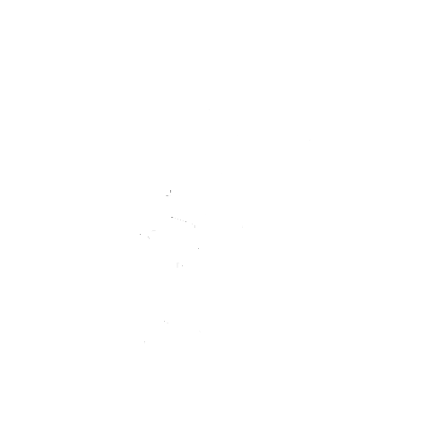 COc1ccc(OC(C)N(C(=O)NCCN(C)C)C(C)C)cc1OC